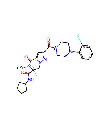 CCCN1C(=O)c2cc(C(=O)N3CCN(c4ccccc4F)CC3)nn2C[C@@]1(C)C(=O)NC1CCCC1